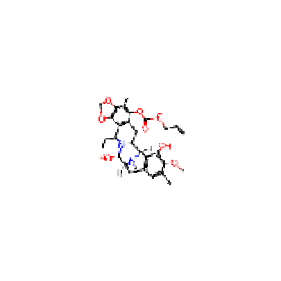 C=CCOC(=O)Oc1c(C)c2c(c3c1CC1[C@@H]4c5c(cc(C)c(OC)c5O)C[C@@H]([C@H](O)N1[C@H]3CC)N4C)OCO2